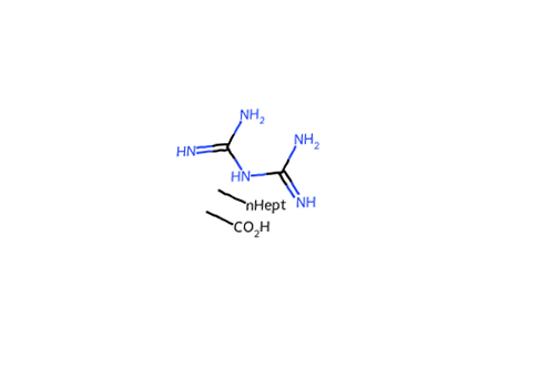 CC(=O)O.CCCCCCCC.N=C(N)NC(=N)N